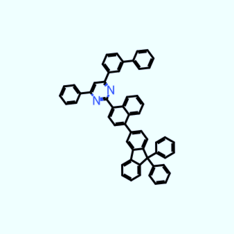 c1ccc(-c2cccc(-c3cc(-c4ccccc4)nc(-c4ccc(-c5ccc6c(c5)-c5ccccc5C6(c5ccccc5)c5ccccc5)c5ccccc45)n3)c2)cc1